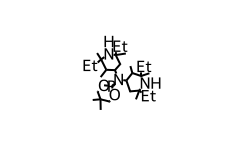 CCC1(C)CC(N(C2CC(C)(CC)NC(C)(CC)C2C)P2OCC(C)(C)CO2)C(C)C(C)(CC)N1